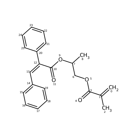 C=C(C)C(=O)OCC(C)OC(=O)C(=Cc1ccccc1)c1ccccc1